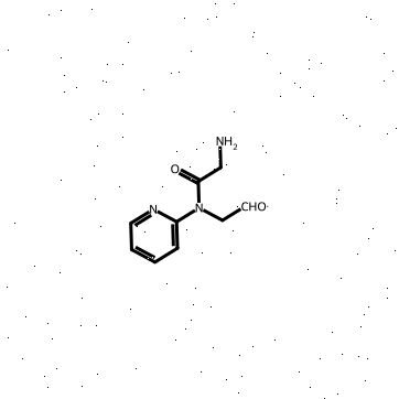 NCC(=O)N(C[C]=O)c1ccccn1